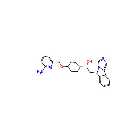 Nc1cccc(COC2CCC(C(O)CC3c4ccccc4-c4cncn43)CC2)n1